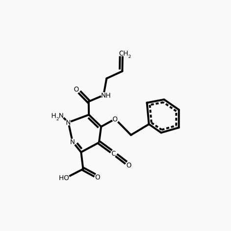 C=CCNC(=O)C1=C(OCc2ccccc2)C(=C=O)C(C(=O)O)=NN1N